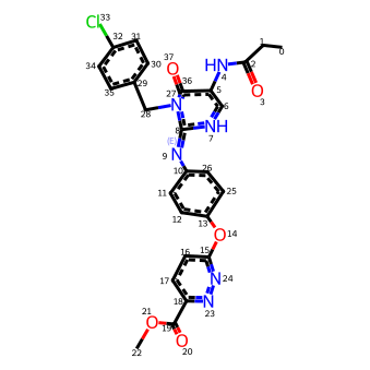 CCC(=O)Nc1c[nH]/c(=N\c2ccc(Oc3ccc(C(=O)OC)nn3)cc2)n(Cc2ccc(Cl)cc2)c1=O